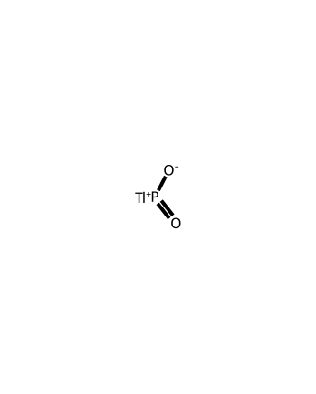 O=P[O-].[Tl+]